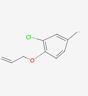 [CH2]c1ccc(OCC=C)c(Cl)c1